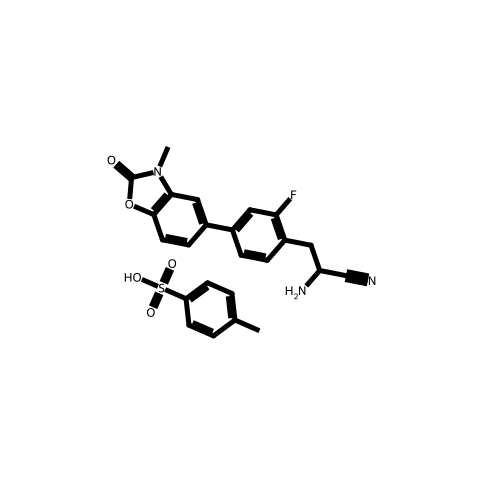 Cc1ccc(S(=O)(=O)O)cc1.Cn1c(=O)oc2ccc(-c3ccc(CC(N)C#N)c(F)c3)cc21